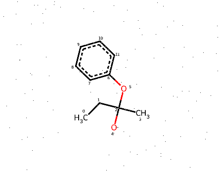 CCC(C)([O])Oc1ccccc1